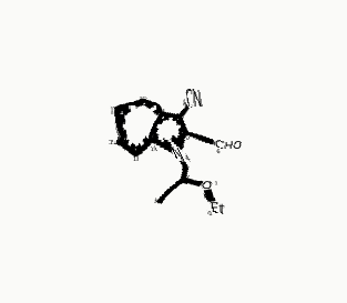 CCOC(C)n1c(C=O)c(C#N)c2ccccc21